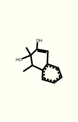 CC1c2ccccc2C=C(O)C1(C)O